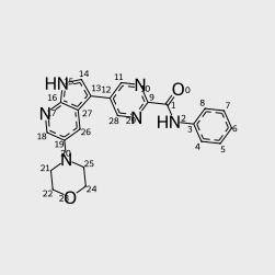 O=C(Nc1ccccc1)c1ncc(-c2c[nH]c3ncc(N4CCOCC4)cc23)cn1